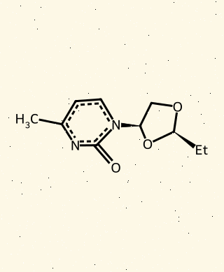 CC[C@@H]1OC[C@H](n2ccc(C)nc2=O)O1